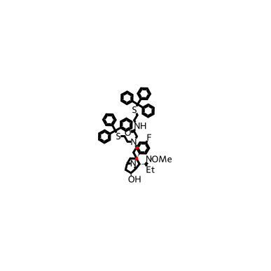 CCC(=NOC)[C@@H]1C2[C@H](O)CC(C[C@@H]1c1ccc(F)cc1)N2CCCN(CCSC(c1ccccc1)(c1ccccc1)c1ccccc1)CC(=O)NCCSC(c1ccccc1)(c1ccccc1)c1ccccc1